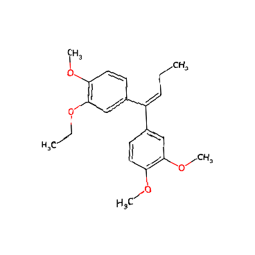 CCC=C(c1ccc(OC)c(OC)c1)c1ccc(OC)c(OCC)c1